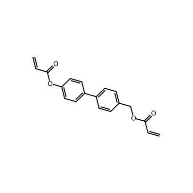 C=CC(=O)OCc1ccc(-c2ccc(OC(=O)C=C)cc2)cc1